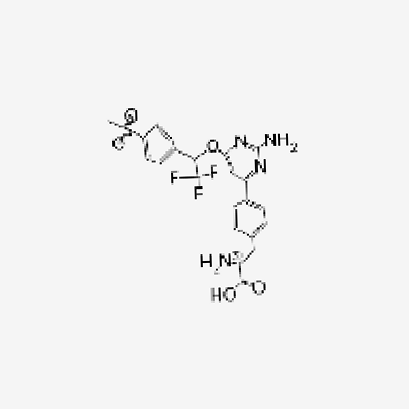 CS(=O)(=O)c1ccc(C(Oc2cc(-c3ccc(C[C@H](N)C(=O)O)cc3)nc(N)n2)C(F)(F)F)cc1